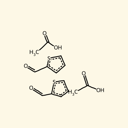 CC(=O)O.CC(=O)O.O=Cc1cccs1.O=Cc1cccs1